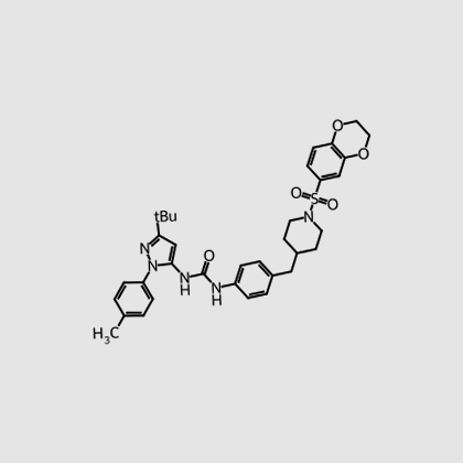 Cc1ccc(-n2nc(C(C)(C)C)cc2NC(=O)Nc2ccc(CC3CCN(S(=O)(=O)c4ccc5c(c4)OCCO5)CC3)cc2)cc1